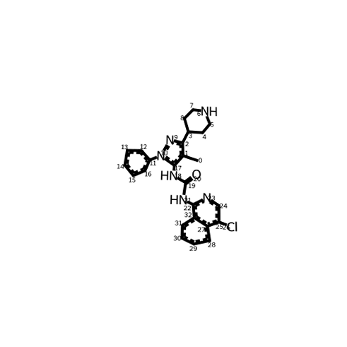 Cc1c(C2CCNCC2)nn(-c2ccccc2)c1NC(=O)Nc1ncc(Cl)c2ccccc12